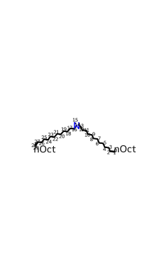 CCCCCCCC/C=C\CCCCCCCCCCCN(C)CCCCCCCCCCC/C=C\CCCCCCCC